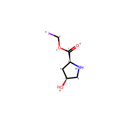 O=C(OCI)[C@@H]1C[C@H](O)CN1